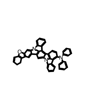 C1=Cc2oc3cc4c(cc3c2CC1)c1cc2c(c3ccc(N(c5ccccc5)c5ccccc5)c5c6ccccc6n2c35)c2c3ccccc3n4c12